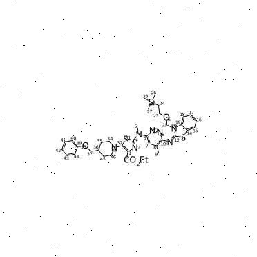 CCOC(=O)c1nc(N(C)c2cc(C)c(N=c3sc4ccccc4n3COCC[Si](C)(C)C)nn2)sc1N1CCC(COc2ccccc2)CC1